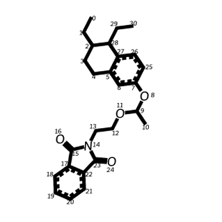 CCC1CCc2cc(OC(C)OCCN3C(=O)c4ccccc4C3=O)ccc2C1CC